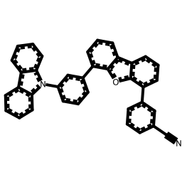 N#Cc1cccc(-c2cccc3c2oc2c(-c4cccc(-n5c6ccccc6c6ccccc65)c4)cccc23)c1